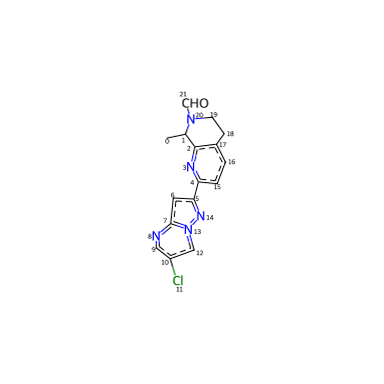 CC1c2nc(-c3cc4ncc(Cl)cn4n3)ccc2CCN1C=O